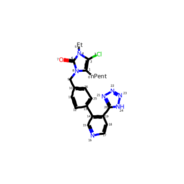 CCCCCc1c(Cl)n(CC)c(=O)n1Cc1ccc(-c2cnccc2-c2nnn[nH]2)cc1